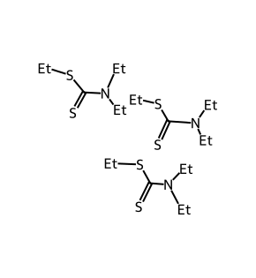 CCSC(=S)N(CC)CC.CCSC(=S)N(CC)CC.CCSC(=S)N(CC)CC